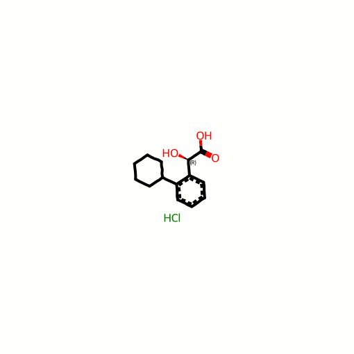 Cl.O=C(O)[C@H](O)c1ccccc1C1CCCCC1